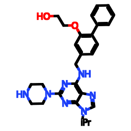 CC(C)n1cnc2c(NCc3ccc(-c4ccccc4)c(OCCO)c3)nc(N3CCNCC3)nc21